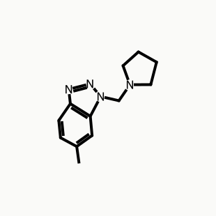 Cc1ccc2nnn(CN3CCCC3)c2c1